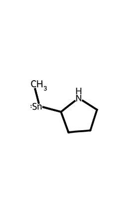 [CH3][Sn][CH]1CCCN1